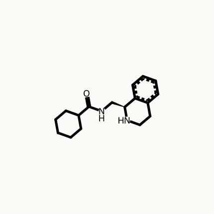 O=C(NC[C@@H]1NCCc2ccccc21)C1CCCCC1